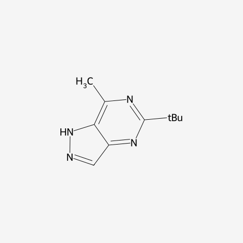 Cc1nc(C(C)(C)C)nc2cn[nH]c12